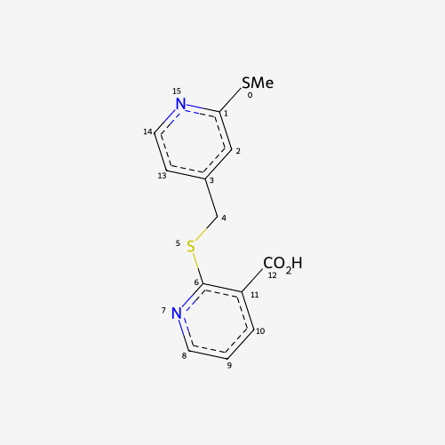 CSc1cc(CSc2ncccc2C(=O)O)ccn1